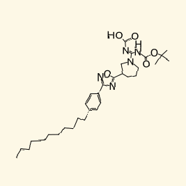 CCCCCCCCCCCc1ccc(-c2noc(C3CCCN(C(=NC(=O)O)NC(=O)OC(C)(C)C)C3)n2)cc1